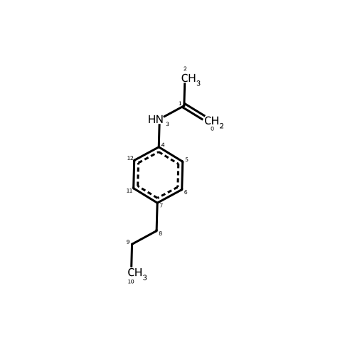 C=C(C)Nc1ccc(CCC)cc1